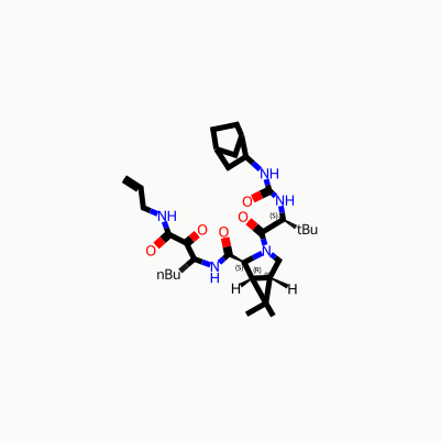 C=CCNC(=O)C(=O)C(CCCC)NC(=O)[C@@H]1[C@@H]2[C@H](CN1C(=O)[C@@H](NC(=O)NC1CC3CCC1C3)C(C)(C)C)C2(C)C